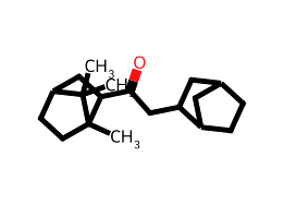 CC1(C)C2CCC1(C)C(C(=O)CC1CC3CCC1C3)C2